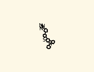 c1ccc(-n2c3ccccc3c3cc4c(cc32)sc2ccc(-c3cccc(-c5ncncn5)c3)cc24)cc1